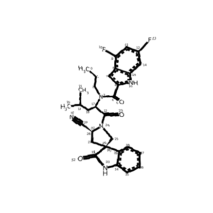 CCCN(C(=O)c1cc2c(F)cc(F)cc2[nH]1)C(CC(C)C)C(=O)N1C[C@]2(C[C@H]1C#N)C(=O)Nc1ccccc12